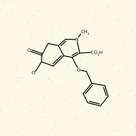 CN1C=C2CC(=O)C(Cl)C=C2C(OCc2ccccc2)=C1C(=O)O